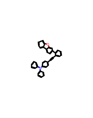 C(#Cc1ccccc1-c1ccc2c(c1)oc1ccccc12)c1ccc(N(c2ccccc2)c2ccccc2)cc1